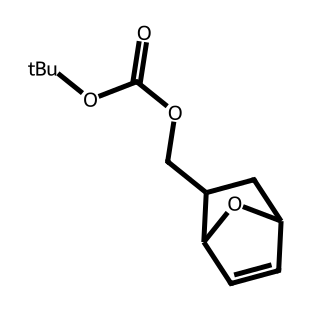 CC(C)(C)OC(=O)OCC1CC2C=CC1O2